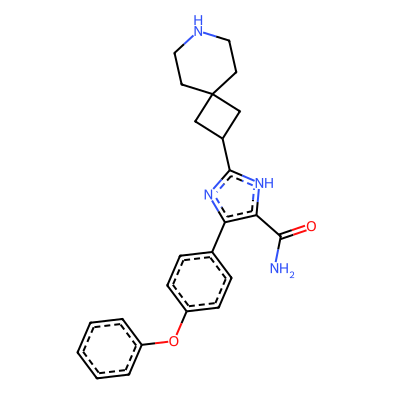 NC(=O)c1[nH]c(C2CC3(CCNCC3)C2)nc1-c1ccc(Oc2ccccc2)cc1